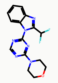 FC(F)c1nc2ccccc2n1-c1n[c]nc(N2CCOCC2)n1